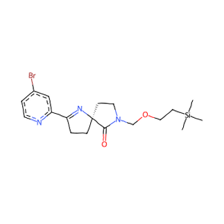 C[Si](C)(C)CCOCN1CC[C@@]2(CCC(c3cc(Br)ccn3)=N2)C1=O